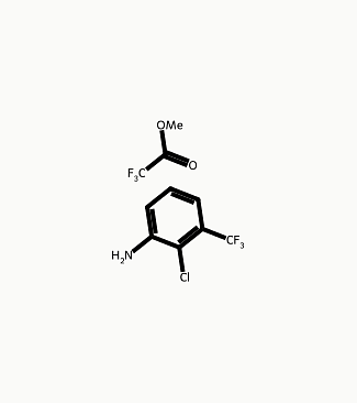 COC(=O)C(F)(F)F.Nc1cccc(C(F)(F)F)c1Cl